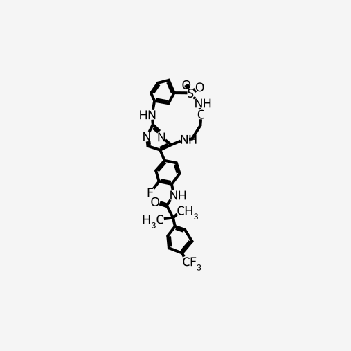 CC(C)(C(=O)Nc1ccc(-c2cnc3nc2NCCCNS(=O)(=O)c2cccc(c2)N3)cc1F)c1ccc(C(F)(F)F)cc1